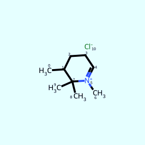 CC1CCC=[N+](C)C1(C)C.[Cl-]